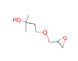 CC(C)(O)CCOCC1CO1